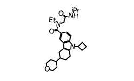 CCN(CC(=O)NC(C)C)C(=O)c1ccc2c(c1)c1c(n2C2CCC2)CCC(C2CCOCC2)C1